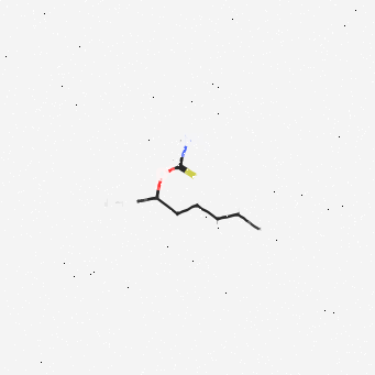 CCCCCC(CCCCC(C)C)OC(N)=S